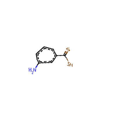 Nc1cccc(C(=S)S)c1